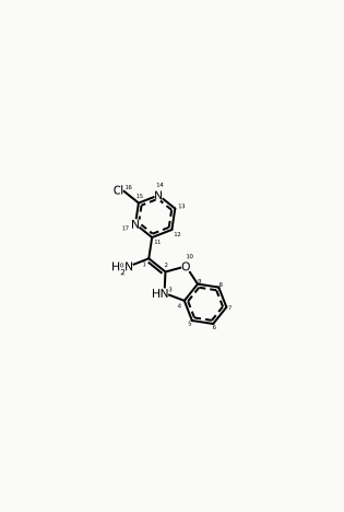 N/C(=C1\Nc2ccccc2O1)c1ccnc(Cl)n1